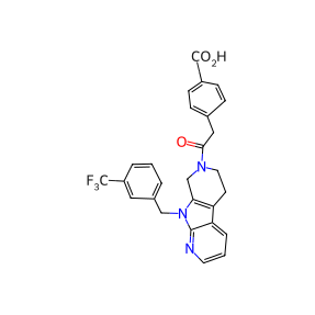 O=C(O)c1ccc(CC(=O)N2CCc3c(n(Cc4cccc(C(F)(F)F)c4)c4ncccc34)C2)cc1